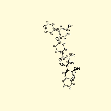 CC(C)[C@H](NC(=O)c1nc2ccccc2nc1O)C(=O)N1CCC(Oc2ccc(F)cc2N2CCOCC2)CC1